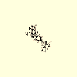 C[C@@H]1CN2CCC[C@]2(CNc2ccc(S(=O)(=O)N(C#N)c3nccs3)cc2)C1